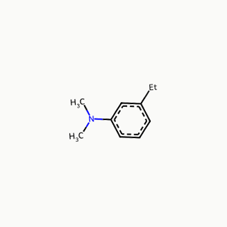 CCc1cccc(N(C)C)c1